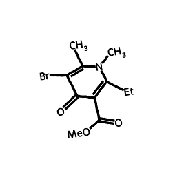 CCc1c(C(=O)OC)c(=O)c(Br)c(C)n1C